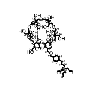 C=CC[Si](CC=C)(CC=C)CCCc1ccc(COCC2OC3OC4C(CO)OC(OC5CC(O)C(OC5CO)OC5C(CO)OC(OC6C(CO)OC(OC7C(CO)OC8OC2C(OC8C7O)C3O)C(O)C6O)C(O)C5O)C(O)C4O)cc1